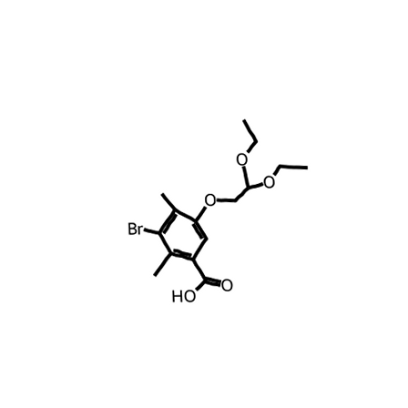 CCOC(COc1cc(C(=O)O)c(C)c(Br)c1C)OCC